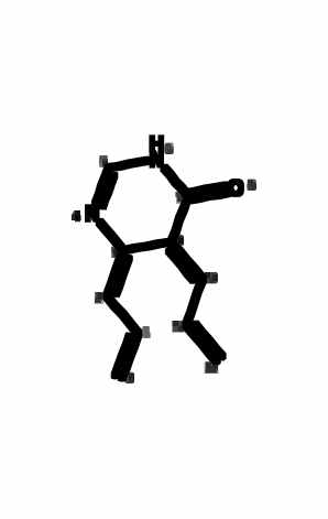 C=C/C=c1/nc[nH]c(=O)/c1=C/C=C